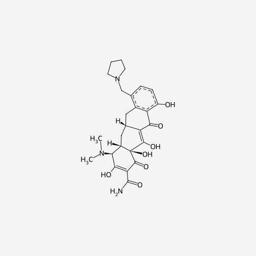 CN(C)[C@@H]1C(O)=C(C(N)=O)C(=O)[C@@]2(O)C(O)=C3C(=O)c4c(O)ccc(CN5CCCC5)c4C[C@H]3C[C@@H]12